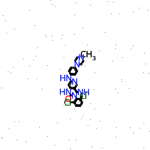 CN1CCN(c2ccc(Nc3cc4[nH]c(=O)n(-c5c(Cl)cccc5Cl)c(=N)c4cn3)cc2)CC1